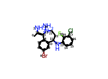 C/C(N)=C1\c2ccc(Br)cc2C(Nc2cccc(Cl)c2F)CCN1N